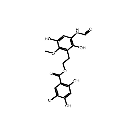 COc1c(O)cc(NC=O)c(O)c1CCOC(=O)c1cc(Cl)c(O)cc1O